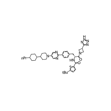 CCCC1CCC(C2CCN(c3cnc(-c4ccc(C[C@H](NC(=O)c5ccc(C(C)(C)C)s5)C(=O)N5CC(c6nn[nH]n6)C5)cc4)nc3)CC2)CC1